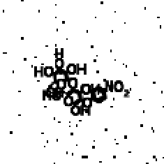 O=[N+]([O-])c1ccc(O[C@@H]2[C@@H](O)[C@H](O[C@H]3O[C@H](CO)[C@@H](O)[C@H](O)[C@H]3O)[C@@H](CO)O[C@H]2O)cc1